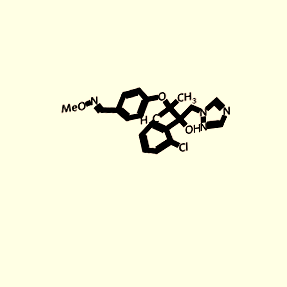 CON=Cc1ccc(OC(C)(C)C(O)(Cn2cncn2)c2ccccc2Cl)cc1